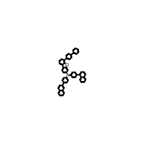 c1ccc(-c2ccc(-c3cccc4c3oc3cc(N(c5ccc(-c6ccc7ccccc7c6)cc5)c5ccc(-c6cccc7ccccc67)cc5)ccc34)cc2)cc1